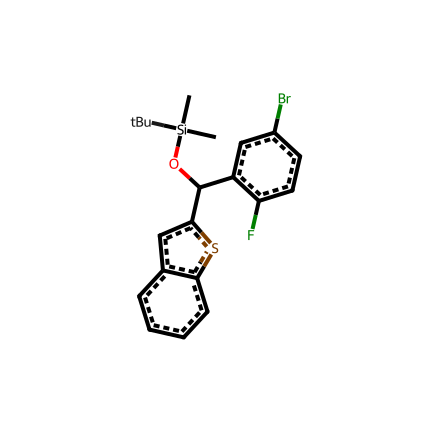 CC(C)(C)[Si](C)(C)OC(c1cc2ccccc2s1)c1cc(Br)ccc1F